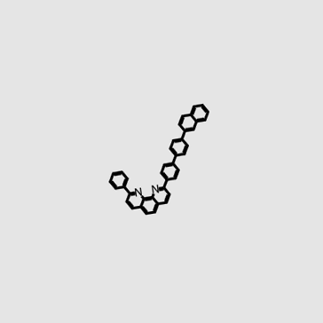 c1ccc(-c2ccc3ccc4ccc(-c5ccc(-c6ccc(-c7ccc8ccccc8c7)cc6)cc5)nc4c3n2)cc1